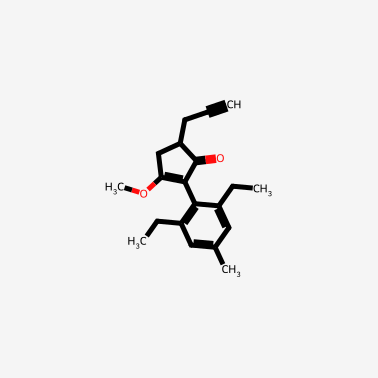 C#CCC1CC(OC)=C(c2c(CC)cc(C)cc2CC)C1=O